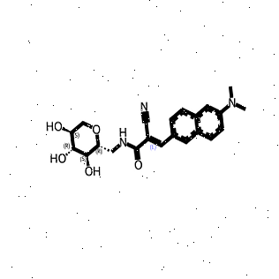 CN(C)c1ccc2cc(/C=C(\C#N)C(=O)NC[C@H]3OC[C@H](O)[C@@H](O)[C@@H]3O)ccc2c1